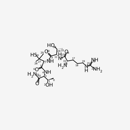 C[C@@H](O)[C@H](NC(=O)[C@@H](NC(=O)[C@@H](NC(=O)[C@@H](N)CCCNC(=N)N)[C@@H](C)O)C(C)(C)S)C(N)=O